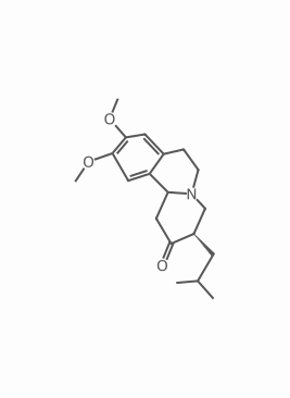 COc1cc2c(cc1OC)C1CC(=O)[C@H](CC(C)C)CN1CC2